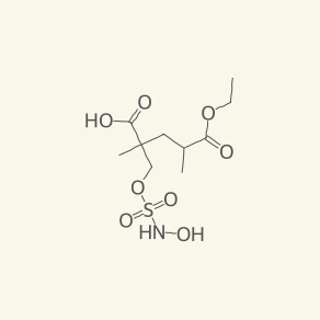 CCOC(=O)C(C)CC(C)(COS(=O)(=O)NO)C(=O)O